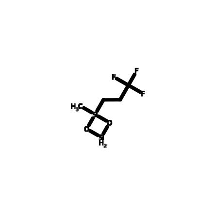 C[Si]1(CCC(F)(F)F)O[SiH2]O1